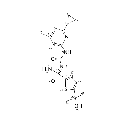 Cc1cc(C2CC2)nc(NC(=O)N=S(N)(=O)c2ncc(C(C)(C)O)s2)n1